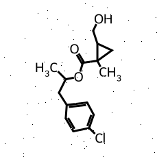 CC(Cc1ccc(Cl)cc1)OC(=O)C1(C)CC1CO